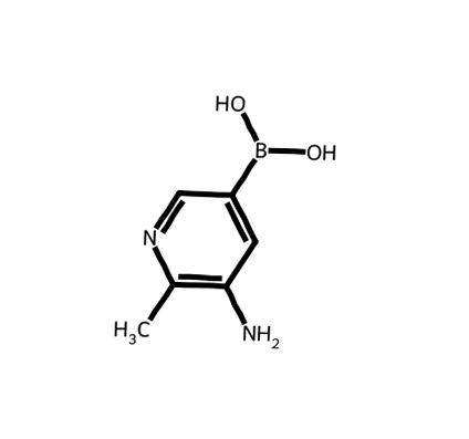 Cc1ncc(B(O)O)cc1N